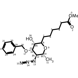 COC(=O)CCCCC[C]1O[C@H](C)[C@@H](N=[N+]=[N-])[C@H](OCc2ccccc2)[C@@H]1O